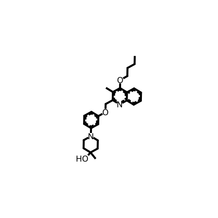 CCCCOc1c(C)c(COc2cccc(N3CCC(C)(O)CC3)c2)nc2ccccc12